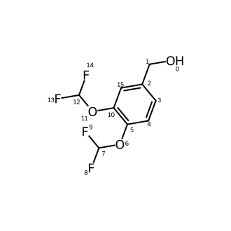 OCc1ccc(OC(F)F)c(OC(F)F)c1